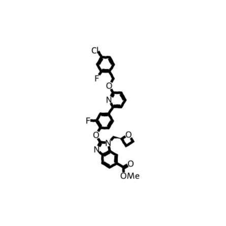 COC(=O)c1ccc2nc(Oc3ccc(-c4cccc(OCc5ccc(Cl)cc5F)n4)cc3F)n(C[C@@H]3CCO3)c2c1